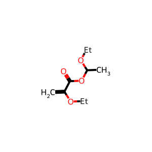 C=C(OCC)C(=O)OC(C)OCC